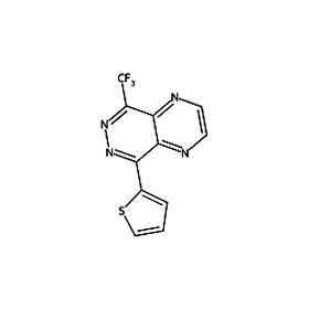 FC(F)(F)c1nnc(-c2cccs2)c2nccnc12